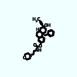 CC#C[C@@]1(O)CC[C@]2(Cc3ccccc3)c3ccc(OC(=O)NCCN4CCOCC4)cc3CC[C@H]2C1